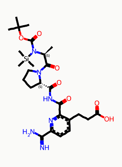 C[C@@H](C(=O)N1CCC[C@H]1C(=O)NC(=O)c1nc(C(=N)N)ccc1CCC(=O)O)N(C(=O)OC(C)(C)C)[Si](C)(C)C